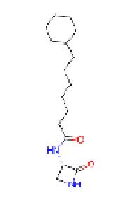 O=C(CCCCCCC1CCCCC1)N[C@H]1CNC1=O